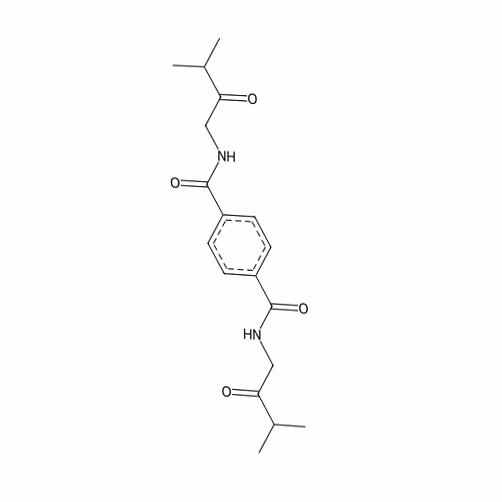 CC(C)C(=O)CNC(=O)c1ccc(C(=O)NCC(=O)C(C)C)cc1